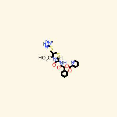 Cn1nnnc1SCC1=C(C(=O)O)N2C(=O)C(NC(=O)C(OC(=O)c3ccccn3)c3ccccc3)[C@H]2SC1